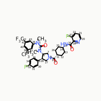 CN(C(=O)N(C)[C@@H]1CN(C(=O)[C@H]2CC[C@H](NC(=O)c3ncccc3F)CC2)C[C@H]1c1ccc(F)cc1)c1cc(C(F)(F)F)cc(C(F)(F)F)c1